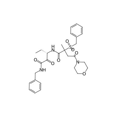 CC[C@H](NC(=O)C(C)(CC(=O)N1CCOCC1)S(=O)(=O)Cc1ccccc1)C(=O)C(=O)NCc1ccccc1